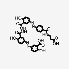 O=C(O)CCNC(=O)c1ccc(/N=N/c2ccc(O)c(C(=O)O)c2)cc1.O=C(O)c1cc(/N=N/c2ccc(O)c(C(=O)O)c2)ccc1O